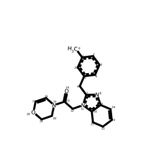 Cc1cccc(Cc2nc3c(n2CC(=O)N2C=COCC2)CCC=C3)c1